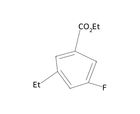 CCOC(=O)c1cc(F)cc(CC)c1